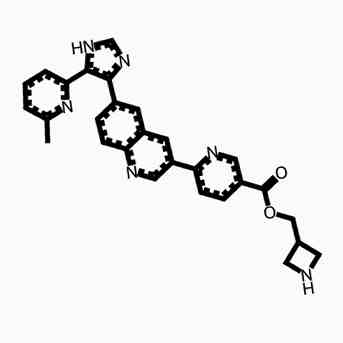 Cc1cccc(-c2[nH]cnc2-c2ccc3ncc(-c4ccc(C(=O)OCC5CNC5)cn4)cc3c2)n1